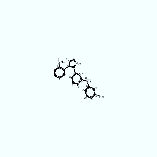 Nc1ccccc1-c1ncsc1-c1ccnc(Nc2cccc(F)c2)n1